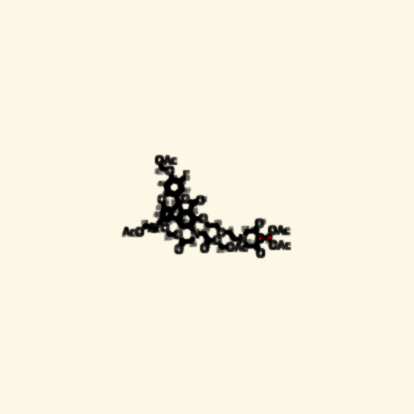 CC(=O)OCOC(=O)CN(CCOCCOc1c(N(CC(=O)OCOC(C)=O)CC(=O)OCOC(C)=O)ccc2c1C(=O)OC21c2cc(F)c(OCOC(C)=O)cc2Oc2cc(OCOC(C)=O)cc(F)c21)CC(=O)OCOC(C)=O